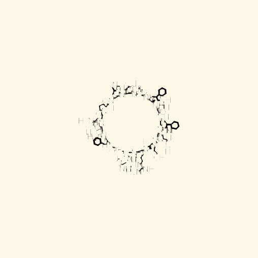 CCCC[C@H]1C(=O)N(C)[C@@H](CCCC)C(=O)N[C@@H](CCCNC(=N)N)C(=O)N[C@H](C(=O)NCC(N)=O)CSCC(=O)N[C@@H](Cc2ccccc2)C(=O)N(C)[C@@H](C)C(=O)N[C@@H](CC(N)=O)C(=O)N2CCCC2C(=O)N[C@@H](Cc2cnc[nH]2)C(=O)N[C@@H](CC(C)C)C(=O)N(C)CC(=O)N[C@@H](Cc2c[nH]c3ccccc23)C(=O)N[C@@H](C)C(=O)N[C@@H](Cc2c[nH]c3ccccc23)C(=O)N1C